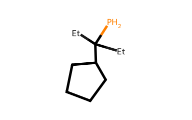 CCC(P)(CC)C1CCCC1